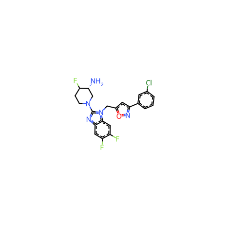 N[C@@H]1CN(c2nc3cc(F)c(F)cc3n2Cc2cc(-c3cccc(Cl)c3)no2)CCC1F